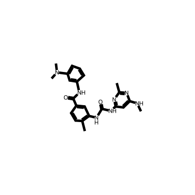 CNc1cc(NC(=O)Nc2cc(C(=O)Nc3cccc(N(C)C)c3)ccc2C)nc(C)n1